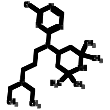 CCN(CC)CCCN(c1ncnc(Cl)n1)C1CC(C)(C)NC(C)(C)C1